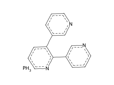 P.c1cncc(-c2cccnc2-c2cccnc2)c1